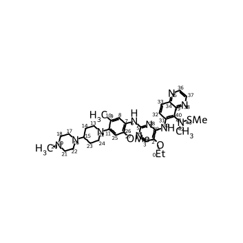 CCOc1cnc(Nc2cc(C)c(N3CCC(N4CCN(C)CC4)CC3)cc2OC)nc1Nc1ccc2nccnc2c1N(C)SC